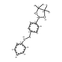 CC1(C)OB(c2ccc(CSc3ccncc3)cc2)OC1(C)C